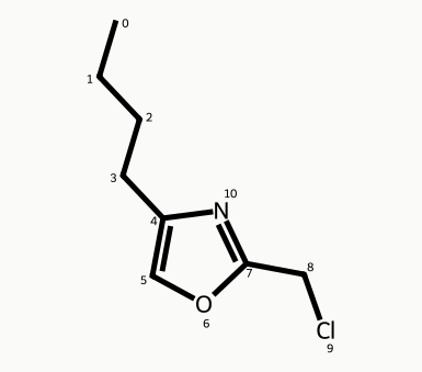 CCCCc1coc(CCl)n1